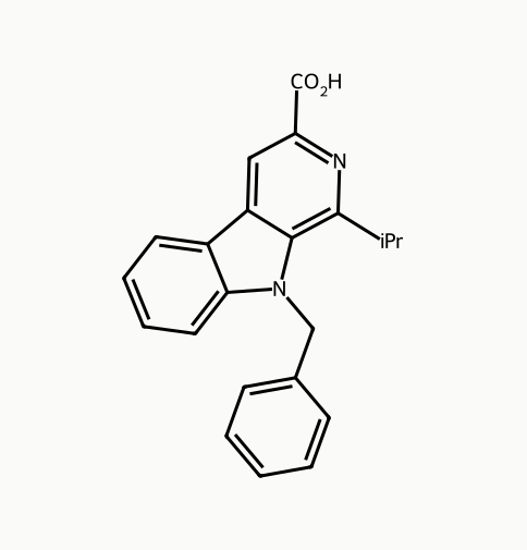 CC(C)c1nc(C(=O)O)cc2c3ccccc3n(Cc3ccccc3)c12